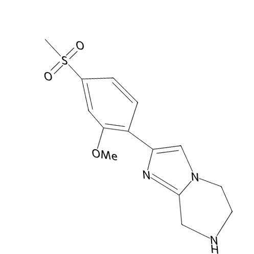 COc1cc(S(C)(=O)=O)ccc1-c1cn2c(n1)CNCC2